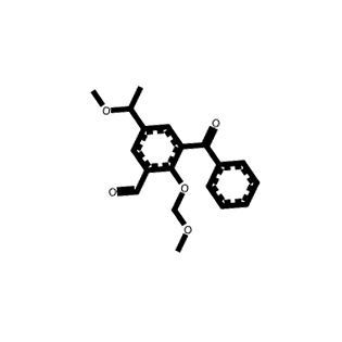 COCOc1c(C=O)cc(C(C)OC)cc1C(=O)c1ccccc1